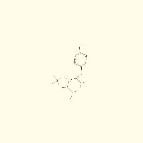 COc1ccc(C[C@@]2(O)C(S)O[C@@H](C)[C@H]3OC(C)(C)O[C@H]32)cc1